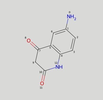 Nc1ccc2c(c1)C(=O)CC(=O)N2